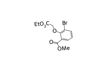 CCOC(=O)COc1c(Br)cccc1C(=O)OC